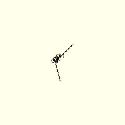 CCCCCCCCCCCCCCCCCCC(SSSC(CCCCCCCCCCCCCCCCCC)C(=O)O)C(=O)O